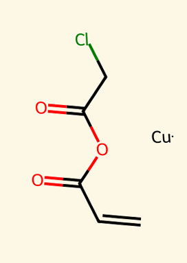 C=CC(=O)OC(=O)CCl.[Cu]